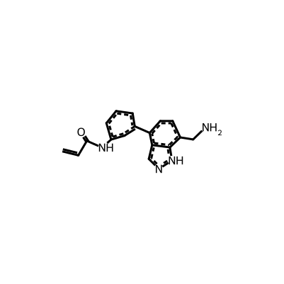 C=CC(=O)Nc1cccc(-c2ccc(CN)c3[nH]ncc23)c1